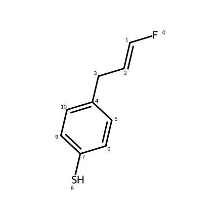 FC=CCc1ccc(S)cc1